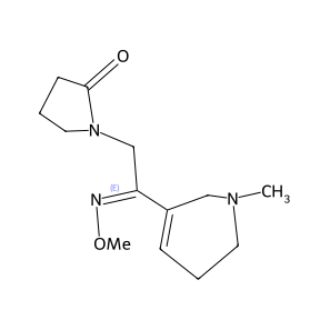 CO/N=C(/CN1CCCC1=O)C1=CCCN(C)C1